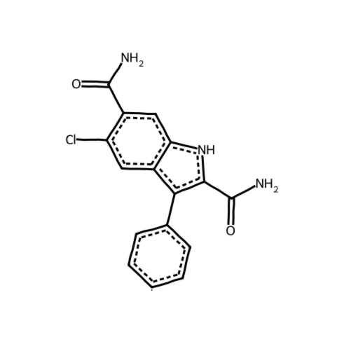 NC(=O)c1cc2[nH]c(C(N)=O)c(-c3cc[c]cc3)c2cc1Cl